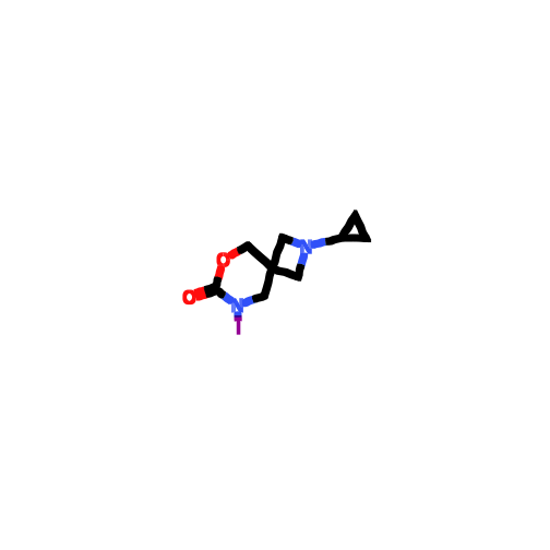 O=C1OCC2(CN1I)CN(C1CC1)C2